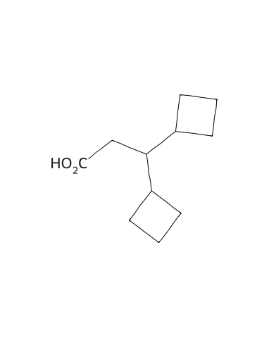 O=C(O)CC(C1CCC1)C1CCC1